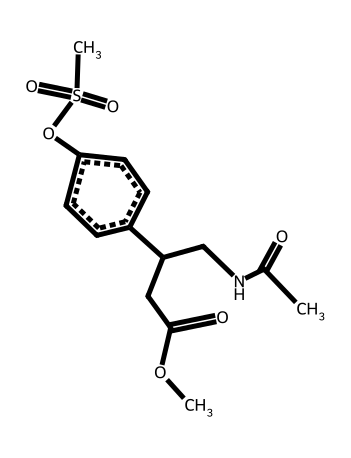 COC(=O)CC(CNC(C)=O)c1ccc(OS(C)(=O)=O)cc1